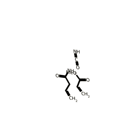 C=CC(=O)OC.C=CCC(N)=O.N=C=O